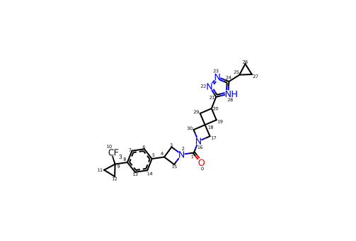 O=C(N1CC(c2ccc(C3(C(F)(F)F)CC3)cc2)C1)N1CC2(CC(c3nnc(C4CC4)[nH]3)C2)C1